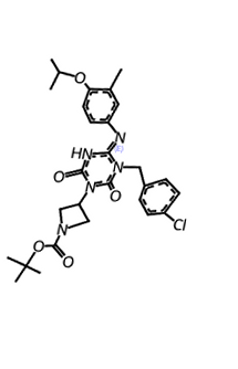 Cc1cc(/N=c2\[nH]c(=O)n(C3CN(C(=O)OC(C)(C)C)C3)c(=O)n2Cc2ccc(Cl)cc2)ccc1OC(C)C